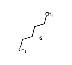 CCCCCC.[S]